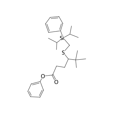 CC(C)[Si](CSC(CCC(=O)Oc1ccccc1)C(C)(C)C)(c1ccccc1)C(C)C